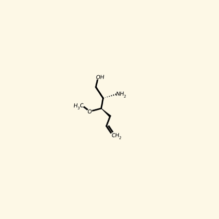 C=CC[C@@H](OC)[C@@H](N)CO